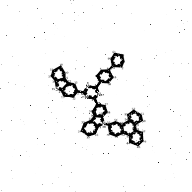 c1ccc(-c2ccc(-c3nc(-c4ccc5sc6ccccc6c5c4)nc(-c4ccc5c(c4)c4ccccc4n5-c4ccc5c6ccccc6c6ccccc6c5c4)n3)cc2)cc1